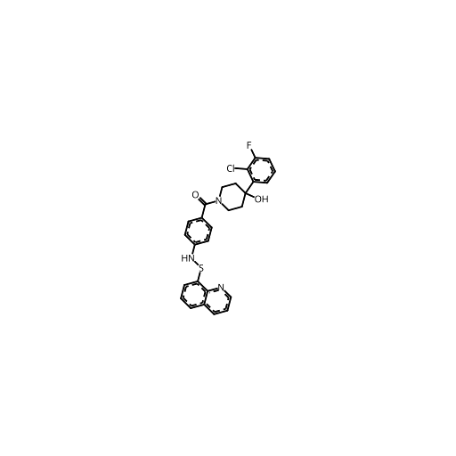 O=C(c1ccc(NSc2cccc3cccnc23)cc1)N1CCC(O)(c2cccc(F)c2Cl)CC1